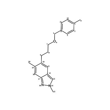 Cc1ccc(COCCCc2cc3cn(C)nc3cc2C)cc1